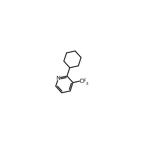 FC(F)(F)c1cccnc1C1CCCCC1